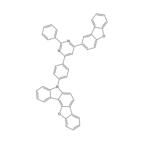 c1ccc(-c2nc(-c3ccc(-n4c5ccccc5c5c6oc7ccccc7c6ccc54)cc3)cc(-c3ccc4oc5ccccc5c4c3)n2)cc1